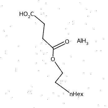 CCCCCCCCOC(=O)CCC(=O)O.[AlH3]